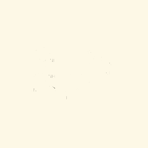 CC1(C)OC(=O)c2cc(-c3ccc(C[C@@H](C#N)NC(=O)C4NC5CCC4C5)c(F)c3)ccc21